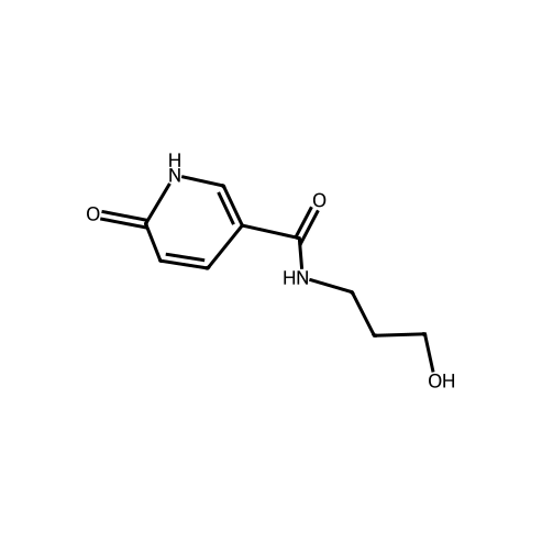 O=C(NCCCO)c1ccc(=O)[nH]c1